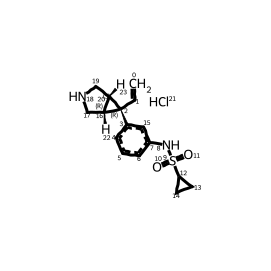 C=C[C@]1(c2cccc(NS(=O)(=O)C3CC3)c2)[C@@H]2CNC[C@@H]21.Cl